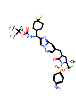 CC(C)(C)OC(=O)N[C@H](c1cn2ncc(CC3C[C@@](C)(C(F)(F)F)N(S(=O)(=O)c4ccc(N)cc4)C3=O)cc2n1)C1CCC(F)(F)CC1